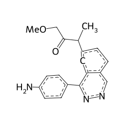 COCC(=O)C(C)c1ccc2cnnc(-c3ccc(N)cc3)c2c1